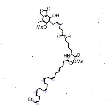 CC/C=C\C/C=C\C/C=C\C/C=C\C/C=C\CC=CCCC(=O)NC(CCCCNC(=O)CC/C(C)=C\Cc1c(O)c2c(c(C)c1OC)COC2=O)C(=O)OC